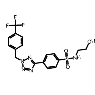 O=S(=O)(NCCO)c1ccc(-c2nnn(Cc3ccc(C(F)(F)F)cc3)n2)cc1